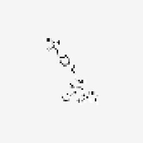 CC(C)(C)OC[C@H](NCCCOc1ccc(C=CC(=O)NO)cc1)C(=O)OC1CCCC1